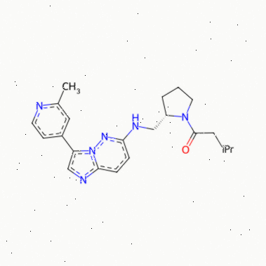 Cc1cc(-c2cnc3ccc(NC[C@@H]4CCCN4C(=O)CC(C)C)nn23)ccn1